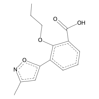 CCCOc1c(C(=O)O)cccc1-c1cc(C)no1